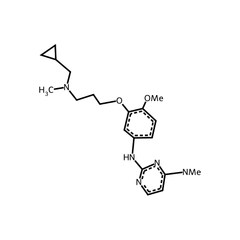 CNc1ccnc(Nc2ccc(OC)c(OCCCN(C)CC3CC3)c2)n1